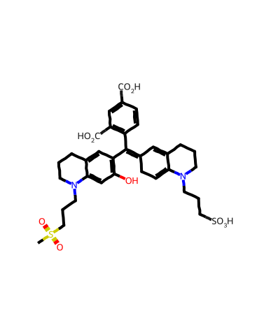 CS(=O)(=O)CCCN1CCCc2cc(/C(=C3/C=C4CCCN(CCCS(=O)(=O)O)C4=CC3)c3ccc(C(=O)O)cc3C(=O)O)c(O)cc21